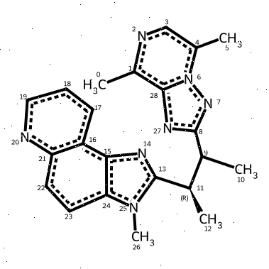 Cc1ncc(C)n2nc(C(C)[C@@H](C)c3nc4c5cccnc5ccc4n3C)nc12